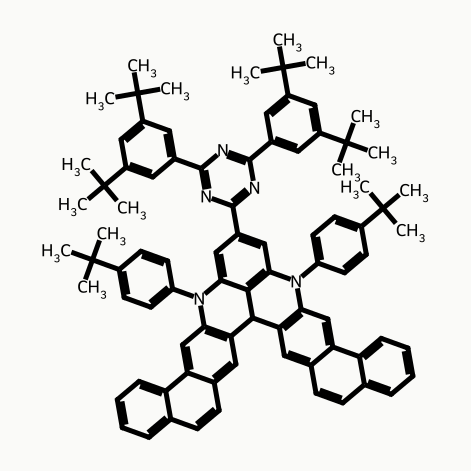 CC(C)(C)c1ccc(N2c3cc4c(ccc5ccccc54)cc3C3c4cc5ccc6ccccc6c5cc4N(c4ccc(C(C)(C)C)cc4)c4cc(-c5nc(-c6cc(C(C)(C)C)cc(C(C)(C)C)c6)nc(-c6cc(C(C)(C)C)cc(C(C)(C)C)c6)n5)cc2c43)cc1